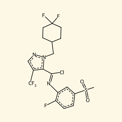 CS(=O)(=O)c1ccc(F)c(/N=C(\Cl)c2c(C(F)(F)F)cnn2CC2CCC(F)(F)CC2)c1